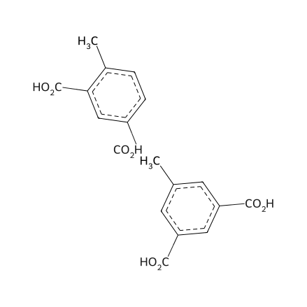 Cc1cc(C(=O)O)cc(C(=O)O)c1.Cc1ccc(C(=O)O)cc1C(=O)O